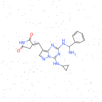 NC(Nc1nc(NC2CC2)n2ncc(/C=C3\CC(=O)NC3=O)c2n1)c1ccccc1